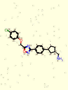 NC[C@@H]1CCC(c2ccc(-c3noc(COc4ccc(Cl)cc4)n3)cc2)C1